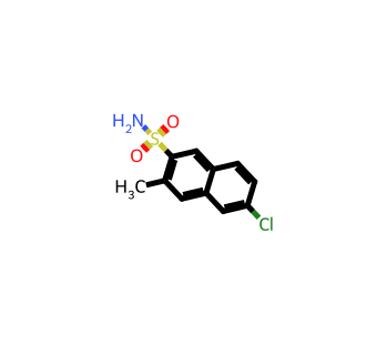 Cc1cc2cc(Cl)ccc2cc1S(N)(=O)=O